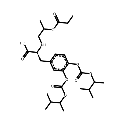 CCC(=O)OC(C)CN[C@@H](Cc1ccc(OC(=O)OC(C)C(C)C)c(OC(=O)OC(C)C(C)C)c1)C(=O)O